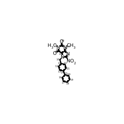 Cn1c(=O)c2c(nc([N+](=O)[O-])n2Cc2ccc(-c3ccccc3)cc2)n(C)c1=O